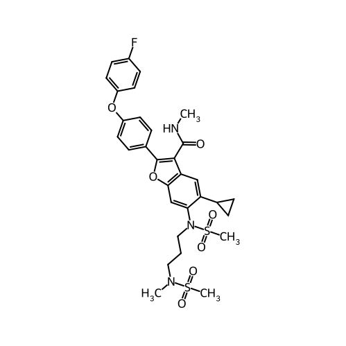 CNC(=O)c1c(-c2ccc(Oc3ccc(F)cc3)cc2)oc2cc(N(CCCN(C)S(C)(=O)=O)S(C)(=O)=O)c(C3CC3)cc12